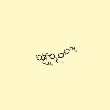 COc1nc(Oc2ccc(N(C)c3ccc(N4CCN(C)CC4)cc3)cc2)nc2cnccc12